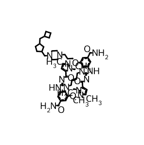 CCn1nc(C)cc1C(=O)/N=c1/[nH]c2cc(C(N)=O)cc(OC)c2n1C/C=C/Cn1/c(=N\C(=O)c2cc(C)nn2CC)[nH]c2cc(C(N)=O)cc(OCCCN3CCN(CC4CCC(CC5CCC5)C4)CC3)c21